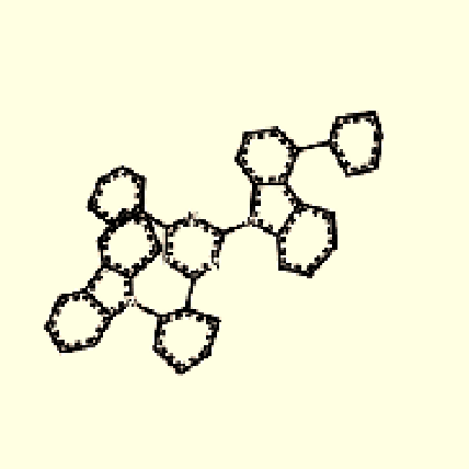 c1ccc(-c2nc(-c3ccccc3-n3c4ccccc4c4ccccc43)nc(-n3c4ccccc4c4c(-c5ccccc5)cccc43)n2)cc1